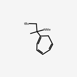 CNC(C)(CC(C)(C)C)C1=CC=CC=CC1